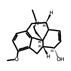 COc1ccc2c3c1C[C@H]1[C@@H](O)C=CC4[C@@H](C2)N(C)CC[C@@]341